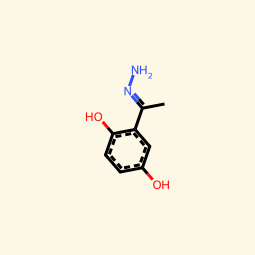 CC(=NN)c1cc(O)ccc1O